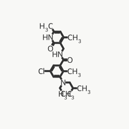 CCN(CC(C)C)c1cc(Cl)cc(C(=O)NCc2c(C)cc(C)[nH]c2=O)c1C